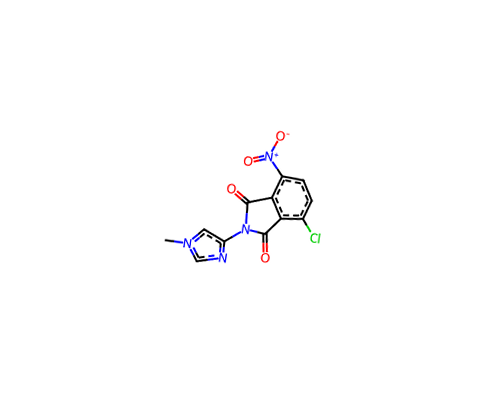 Cn1cnc(N2C(=O)c3c(Cl)ccc([N+](=O)[O-])c3C2=O)c1